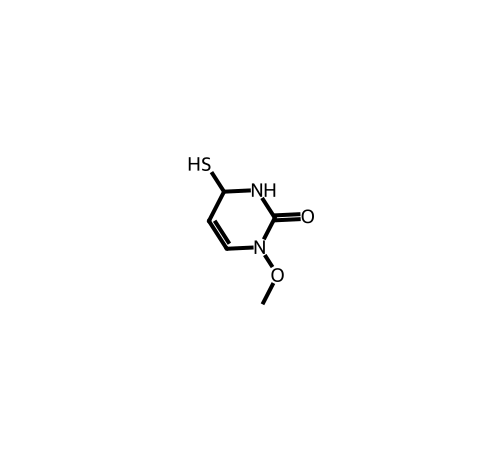 CON1C=CC(S)NC1=O